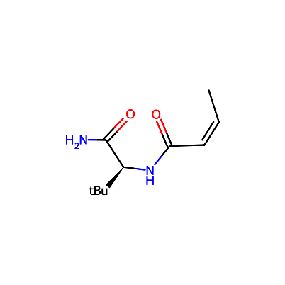 C/C=C\C(=O)N[C@H](C(N)=O)C(C)(C)C